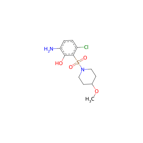 COC1CCN(S(=O)(=O)c2c(Cl)ccc(N)c2O)CC1